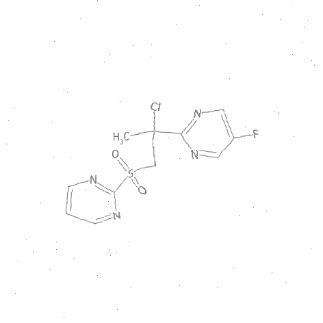 CC(Cl)(CS(=O)(=O)c1ncccn1)c1ncc(F)cn1